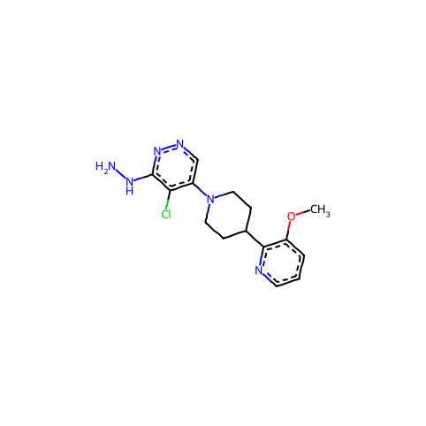 COc1cccnc1C1CCN(c2cnnc(NN)c2Cl)CC1